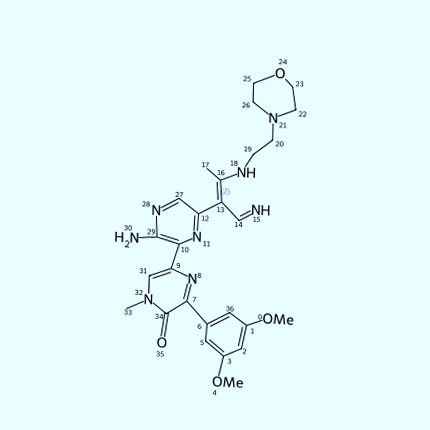 COc1cc(OC)cc(-c2nc(-c3nc(/C(C=N)=C(\C)NCCN4CCOCC4)cnc3N)cn(C)c2=O)c1